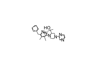 Cc1c(Cc2ccccc2)nnc(N2CCN(c3cnccn3)CC2C(C)(C)O)c1C